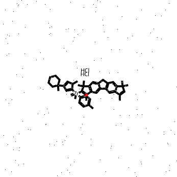 Cl.Cl.[CH2]=[Zr]([CH3])([C]1=CC(C2(C)CCCCC2)=CC1C)([C]1=C(C)c2cc3c(cc2C1(C)C)Cc1cc2c(cc1-3)C(C)=CC2(C)C)[c]1ccc(C)cc1